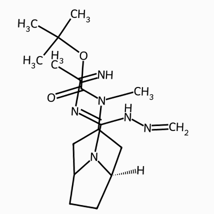 C=NN/C(=N\C(C)=N)N1C2CC[C@@H]1CC(N(C)C(=O)OC(C)(C)C)C2